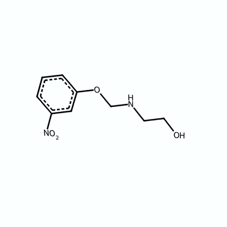 O=[N+]([O-])c1cccc(OCNCCO)c1